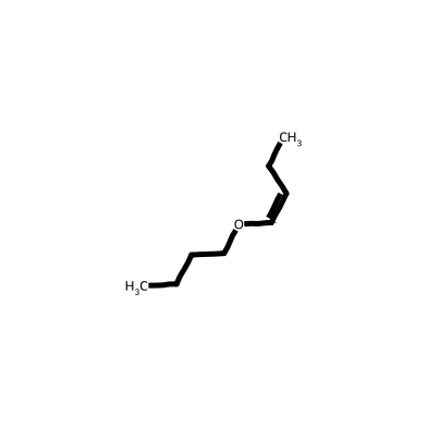 CC/C=[C]\OCCCC